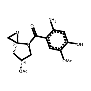 COc1cc(C(=O)N2C[C@H](OC(C)=O)C[C@@]23CO3)c(N)cc1O